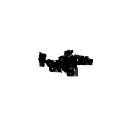 COc1cc(C(C(=O)N2C[C@H](O)C[C@@H]2C2=NC(=O)[C@@](C)(c3ccc(-c4scnc4C)cc3)N2)C(C)C)on1